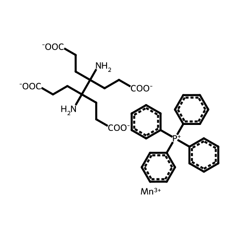 NC(CCC(=O)[O-])(CCC(=O)[O-])C(N)(CCC(=O)[O-])CCC(=O)[O-].[Mn+3].c1ccc([P+](c2ccccc2)(c2ccccc2)c2ccccc2)cc1